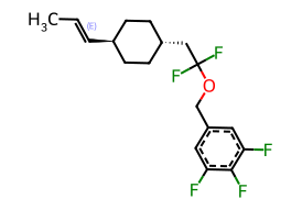 C/C=C/[C@H]1CC[C@H](CC(F)(F)OCc2cc(F)c(F)c(F)c2)CC1